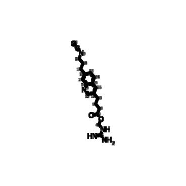 N=C(N)NCOC(=O)CCCc1cnc2cc(CCCN=C=O)ccc2c1